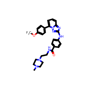 CN1CCN(CCNC(=O)c2ccc(Nc3nc4cccc(-c5ccc(OC(F)(F)F)cc5)n4n3)cc2)CC1